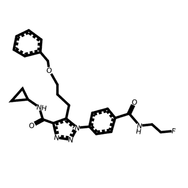 O=C(NCCF)c1ccc(-n2nnc(C(=O)NC3CC3)c2CCCOCc2ccccc2)cc1